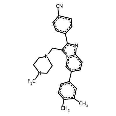 Cc1ccc(-c2ccc3nc(-c4ccc(C#N)cc4)c(CN4CCN(C(F)(F)F)CC4)n3c2)cc1C